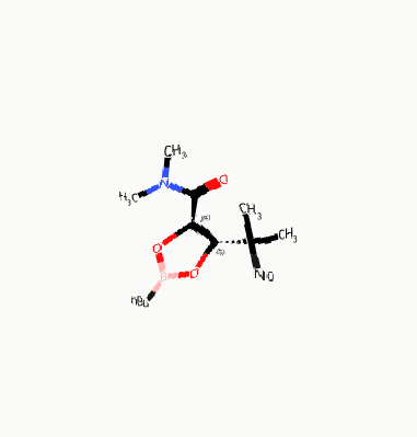 CCCCB1O[C@@H](C(C)(C)N=O)[C@H](C(=O)N(C)C)O1